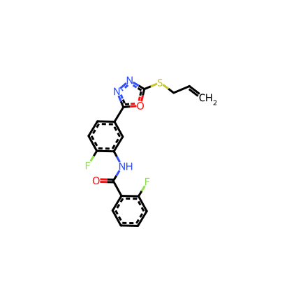 C=CCSc1nnc(-c2ccc(F)c(NC(=O)c3ccccc3F)c2)o1